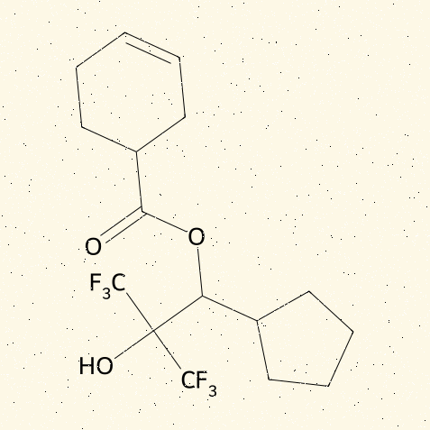 O=C(OC(C1CCCC1)C(O)(C(F)(F)F)C(F)(F)F)C1CC=CCC1